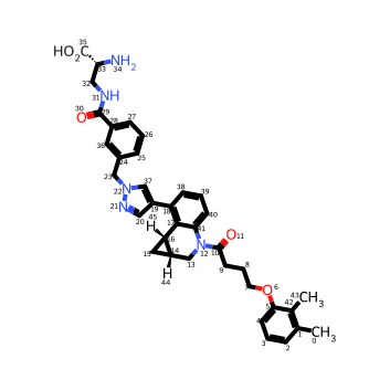 Cc1cccc(OCCCC(=O)N2C[C@@H]3C[C@@H]3c3c(-c4cnn(Cc5cccc(C(=O)NC[C@@H](N)C(=O)O)c5)c4)cccc32)c1C